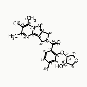 Cc1nc2c3c(nn2c(C)c1Cl)CN(C(=O)c1ccc(F)cc1O[C@H]1COC[C@@H]1O)C3